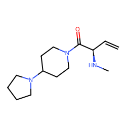 C=C[C@@H](NC)C(=O)N1CCC(N2CCCC2)CC1